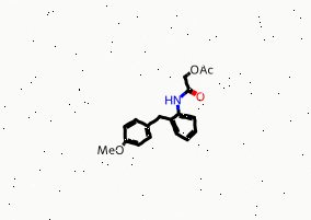 COc1ccc(Cc2ccccc2NC(=O)COC(C)=O)cc1